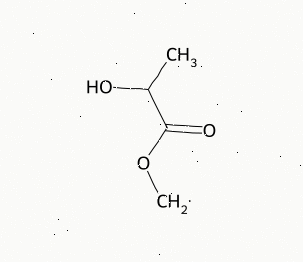 [CH2]OC(=O)C(C)O